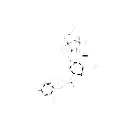 O=C(NCc1c(F)cc(F)cc1F)c1cn2c(c(O)c1=O)C(=O)N1[C@@H](C2)[C@@H]2CC(F)(F)C23C[C@@H]13